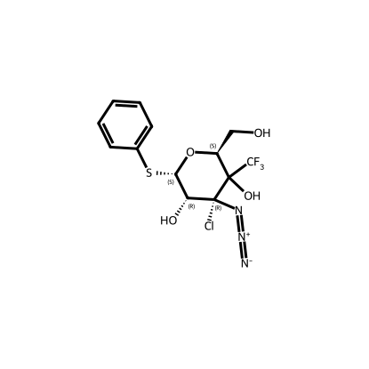 [N-]=[N+]=N[C@@]1(Cl)[C@H](O)[C@H](Sc2ccccc2)O[C@@H](CO)C1(O)C(F)(F)F